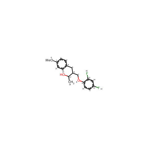 COc1ccc(CC(COc2ccc(F)cc2F)C(C)O)cc1